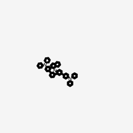 C1=CCC(N(c2ccccc2)c2ccc(-c3cccc4c5cc(-c6ccc(N(c7ccccc7)c7ccccc7)cc6)ccc5n(-c5cccc6ccccc56)c34)cc2)C=C1